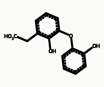 O=C(O)Cc1cccc(Oc2ccccc2O)c1O